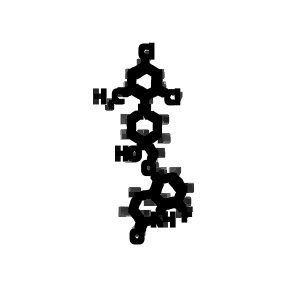 Cc1cc(Cl)cc(Cl)c1N1CCC(O)(COc2ccc(F)c3c2CCC(=O)N3)CC1